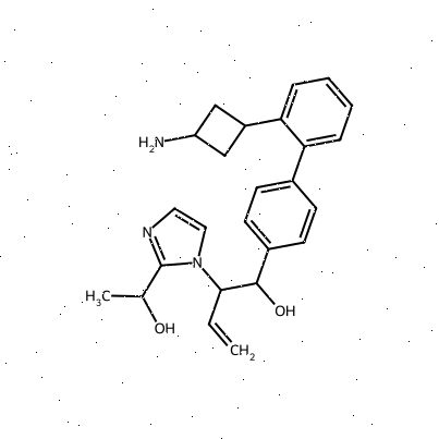 C=CC(C(O)c1ccc(-c2ccccc2C2CC(N)C2)cc1)n1ccnc1C(C)O